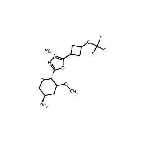 COC1C[C@@H](N)CO[C@@H]1c1nnc(C2CC(OC(F)(F)F)C2)o1.Cl